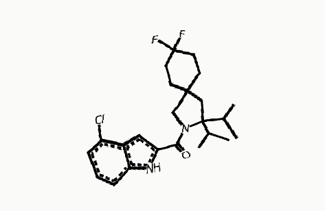 CC(C)C1(C(C)C)CC2(CCC(F)(F)CC2)CN1C(=O)c1cc2c(Cl)cccc2[nH]1